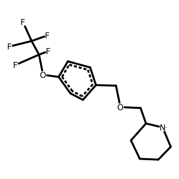 FC(F)(F)C(F)(F)Oc1ccc(COCC2CCCC[N]2)cc1